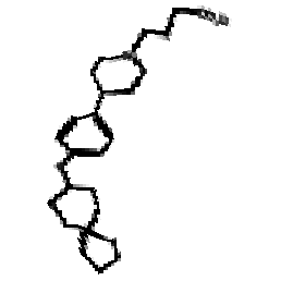 CCOC(=O)CCCN1CCC(c2ccc(OC3CCC4(CCCC4)CC3)cc2)CC1